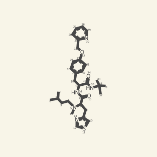 CC(C)CCN(C)C(Cc1cscn1)C(=O)NC(Cc1ccc(OCc2ccccn2)cc1)C(=O)NC(C)(C)C